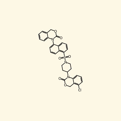 O=C1OCc2ccccc2N1c1cccc2c(S(=O)(=O)N3CCC(N4C(=O)OCc5c(Cl)cccc54)CC3)cccc12